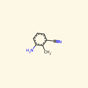 [CH2]c1c(N)cccc1C#N